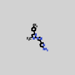 Nc1ccc(-c2cn(-c3nc(-c4ccc(C(F)(F)F)cc4)cc(C(F)(F)F)n3)cn2)cn1